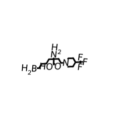 BCCCCC(N)(CCN1CCC(C(F)(F)F)CC1)C(=O)O